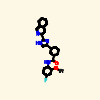 CC(C)Oc1cc(F)ccc1NC(=O)c1cccc(-c2c[nH]c(-c3cc4ccccc4cn3)n2)c1